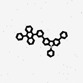 c1ccc(-c2ccc3c(c2)c2cc(-c4cccc(-c5c6ccccc6c(-c6ccccc6)c6ccccc56)c4)ccc2n3-c2ccccc2)cc1